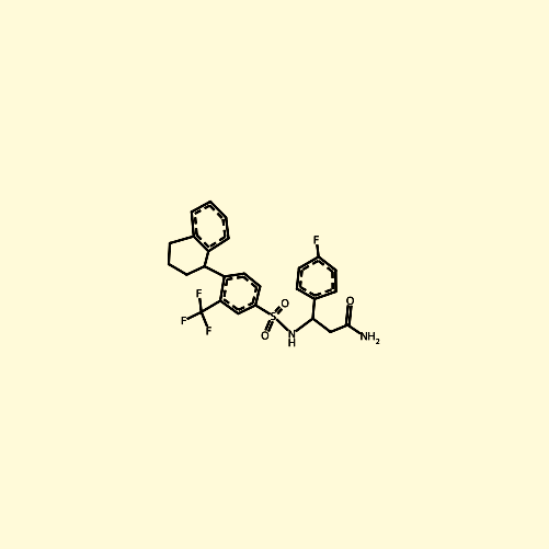 NC(=O)CC(NS(=O)(=O)c1ccc(C2CCCc3ccccc32)c(C(F)(F)F)c1)c1ccc(F)cc1